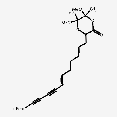 CCCCCC#CC#CC=CCCCCCC1OC(C)(OC)C(C)(OC)OC1=O